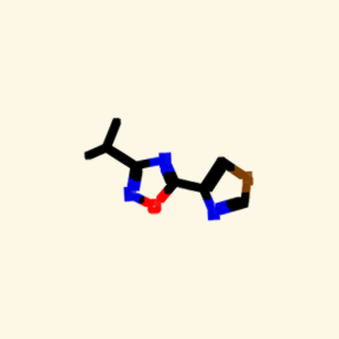 CC(C)c1noc(-c2cscn2)n1